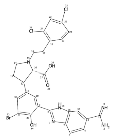 N=C(N)c1ccc2nc(-c3cc(C4CCN(CCc5ccc(Cl)cc5Cl)[C@@H]4C(=O)O)cc(Br)c3O)[nH]c2c1